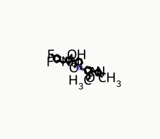 COc1cc(/C=C2\CCCN(C3CN(Cc4ccc(F)c(F)c4)CC3O)C2=O)ccc1-n1cnc(C)c1